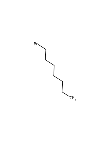 FC(F)(F)CCCCCCBr